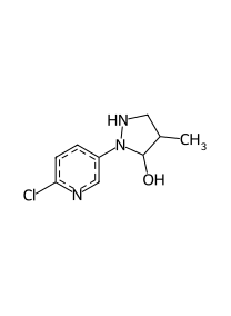 CC1CNN(c2ccc(Cl)nc2)C1O